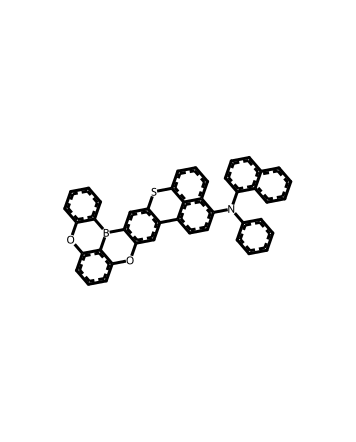 c1ccc(N(c2cccc3ccccc23)c2ccc3c4c(cccc24)Sc2cc4c(cc2-3)Oc2cccc3c2B4c2ccccc2O3)cc1